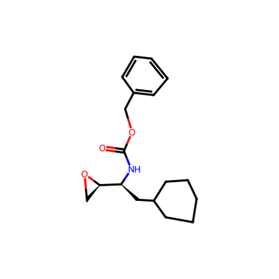 O=C(N[C@@H](CC1CCCCC1)[C@H]1CO1)OCc1ccccc1